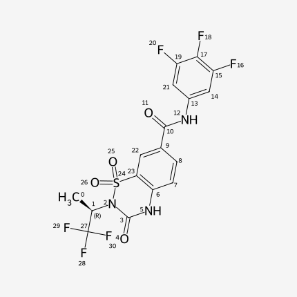 C[C@@H](N1C(=O)Nc2ccc(C(=O)Nc3cc(F)c(F)c(F)c3)cc2S1(=O)=O)C(F)(F)F